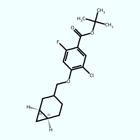 CC(C)(C)OC(=O)c1cc(Cl)c(OCC2CC[C@H]3C[C@H]3C2)cc1F